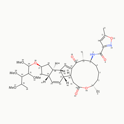 CC[C@H]1CCC[C@H](NC(=O)c2cc(C)on2)[C@@H](C)C(=O)C2=C[C@@H]3[C@@H](C=C[C@@H]4C[C@@H](OC(OC)C(OC)C(OC)C(C)OC)C[C@@H]34)[C@@H]2CC(=O)O1